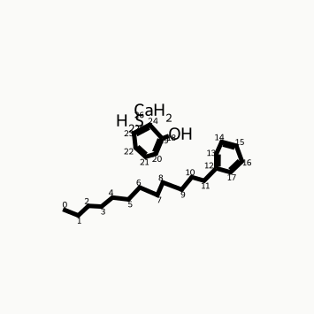 CCCCCCCCCCCCc1ccccc1.Oc1ccccc1.S.[CaH2]